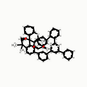 C=C/C=C\C1=C(C)Sc2ccccc2C12c1ccccc1C(C)(C)c1ccc(-c3cccc(-c4cc(-c5ccccc5)nc(-c5ccccc5-c5ccccc5)n4)c3)cc12